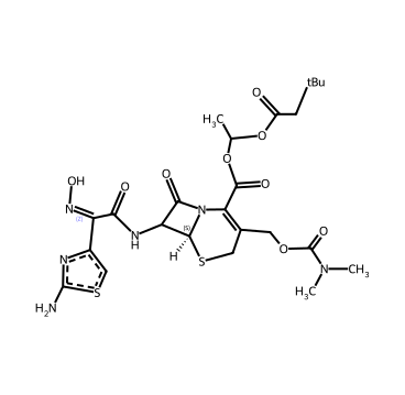 CC(OC(=O)CC(C)(C)C)OC(=O)C1=C(COC(=O)N(C)C)CS[C@H]2C(NC(=O)/C(=N\O)c3csc(N)n3)C(=O)N12